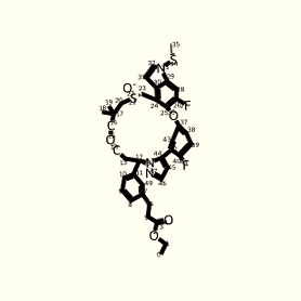 CCOC(=O)CCc1cccc(C2CCOCC(C)(C)C[S+]([O-])Cc3c(c(F)cc4c3ccn4SI)Oc3ccc(F)c(c3)-c3ccnn32)c1